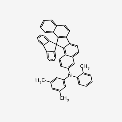 Cc1cc(C)cc(N(c2ccc3c4c(ccc3c2)-c2ccc3ccccc3c2C42c3ccccc3-c3ccccc32)c2ccccc2C)c1